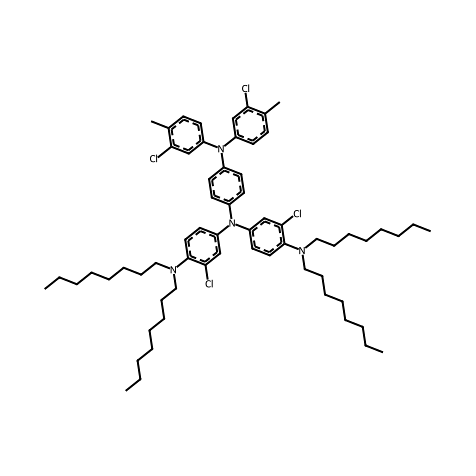 CCCCCCCCN(CCCCCCCC)c1ccc(N(c2ccc(N(c3ccc(C)c(Cl)c3)c3ccc(C)c(Cl)c3)cc2)c2ccc(N(CCCCCCCC)CCCCCCCC)c(Cl)c2)cc1Cl